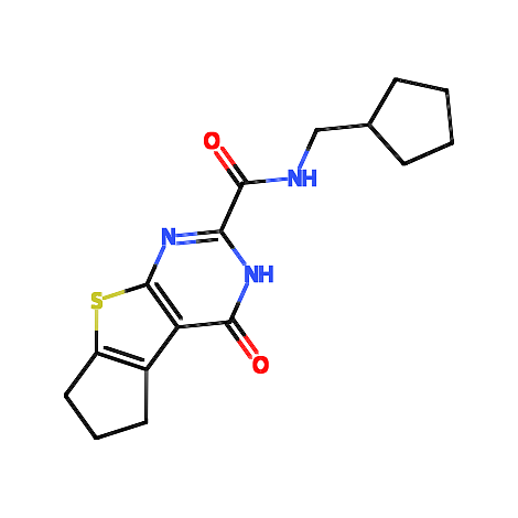 O=C(NCC1CCCC1)c1nc2sc3c(c2c(=O)[nH]1)CCC3